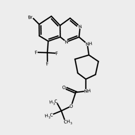 CC(C)(C)OC(=O)NC1CCC(Nc2ncc3cc(Br)cc(C(F)(F)F)c3n2)CC1